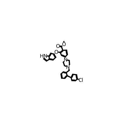 COC(=O)c1ccc(N2CCN(Cc3ccccc3-c3ccc(Cl)cc3)CC2)cc1Oc1ccc2cc[nH]c2c1